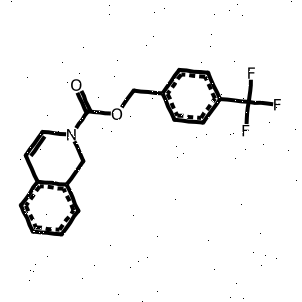 O=C(OCc1ccc(C(F)(F)F)cc1)N1C=Cc2ccccc2C1